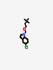 C[Si](C)(C)CCOCn1ccc2cc(Cl)ccc21